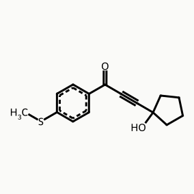 CSc1ccc(C(=O)C#CC2(O)CCCC2)cc1